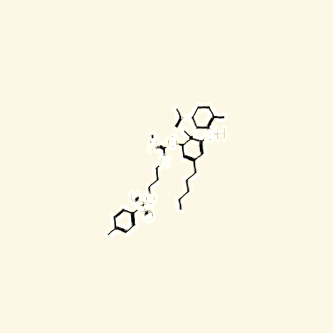 C=C(C)[C@@H]1CCC(C)=C[C@H]1C1(C)C(O)=CC(CCCCC)=CC1O/C(=N\C)OCCCOS(=O)(=O)c1ccc(C)cc1